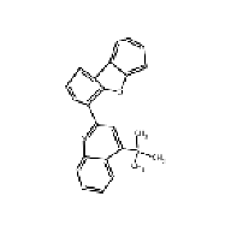 CS(C)(C)c1cc(-c2cccc3c2oc2ccccc23)nc2ccccc12